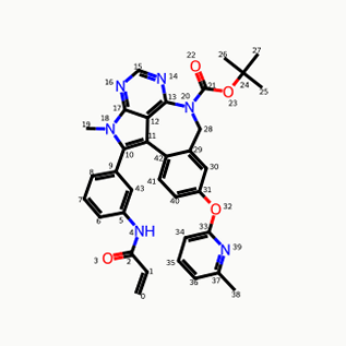 C=CC(=O)Nc1cccc(-c2c3c4c(ncnc4n2C)N(C(=O)OC(C)(C)C)Cc2cc(Oc4cccc(C)n4)ccc2-3)c1